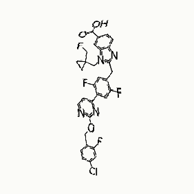 O=C(O)c1ccc2nc(Cc3cc(F)c(-c4ccnc(OCc5ccc(Cl)cc5F)n4)cc3F)n(CC3(CF)CC3)c2c1